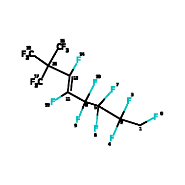 FCC(F)(F)C(F)(F)C(F)(F)C(F)=C(F)C(C(F)(F)F)(C(F)(F)F)C(F)(F)F